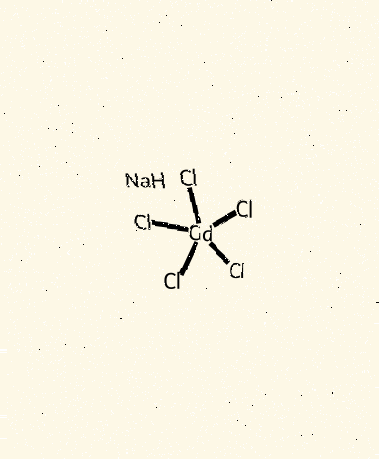 [Cl][Gd]([Cl])([Cl])([Cl])[Cl].[NaH]